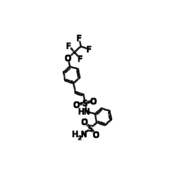 NS(=O)(=O)c1ccccc1NS(=O)(=O)/C=C/c1ccc(OC(F)(F)C(F)F)cc1